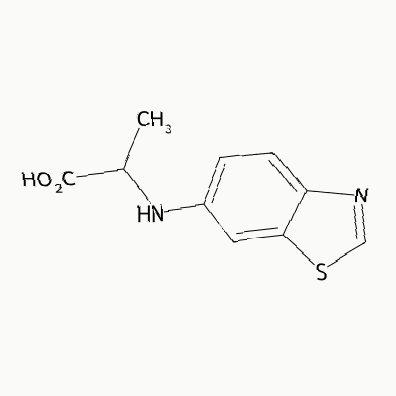 CC(Nc1ccc2ncsc2c1)C(=O)O